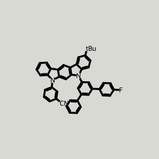 CC(C)(C)c1ccc2c(c1)c1cc3c4ccccc4n(-c4cccc(C#N)c4)c3cc1n2-c1cc(-c2ccccc2)cc(-c2ccc(F)cc2)c1